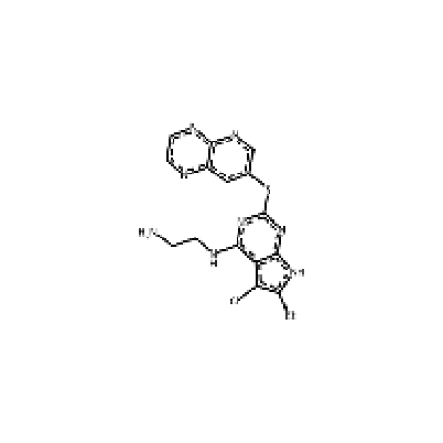 CCc1[nH]c2nc(Sc3cnc4nccnc4c3)nc(NCCN)c2c1Cl